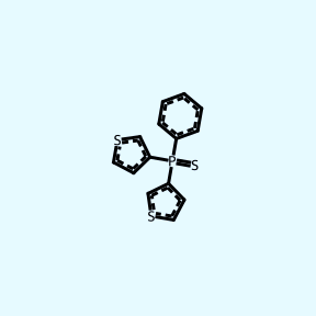 S=P(c1ccccc1)(c1ccsc1)c1ccsc1